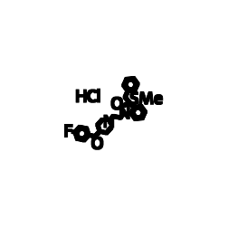 CSC1(Cc2ccccc2)C(=O)N(CCN2CCC(C(=O)c3ccc(F)cc3)CC2)c2ccccc21.Cl